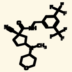 CN(C1CCOCC1)C1CC[C@](C#N)(C(=O)NCc2cc(C(F)(F)F)cc(C(F)(F)F)c2)C1